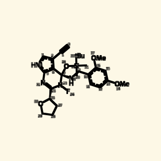 C#Cc1c[nH]c2c1[C@](NCc1ccc(OC)cc1OC)(O[Si](C)(C)C(C)(C)C)N(F)C([C@H]1CCCO1)=N2